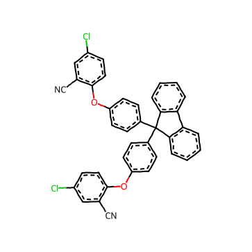 N#Cc1cc(Cl)ccc1Oc1ccc(C2(c3ccc(Oc4ccc(Cl)cc4C#N)cc3)c3ccccc3-c3ccccc32)cc1